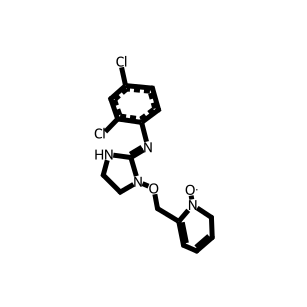 [O]N1CC=CC=C1CON1CCNC1=Nc1ccc(Cl)cc1Cl